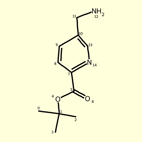 CC(C)(C)OC(=O)c1ccc(CN)cn1